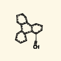 C#Cc1cccc2c3ccccc3c3ccccc3c12